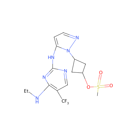 CCNc1nc(Nc2ccnn2C2CC(OS(C)(=O)=O)C2)ncc1C(F)(F)F